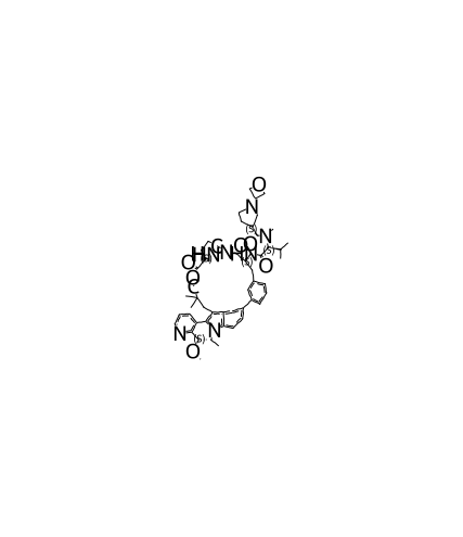 CCn1c(-c2cccnc2[C@H](C)OC)c2c3cc(ccc31)-c1cccc(c1)C[C@H](NC(=O)[C@H](C(C)C)N(C)C(=O)[C@H]1CCN(C3COC3)C1)C(=O)N1CCC[C@H](N1)C(=O)OCC(C)(C)C2